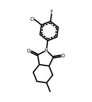 CC1CCC2C(=O)N(c3ccc(F)c(Cl)c3)C(=O)C2C1